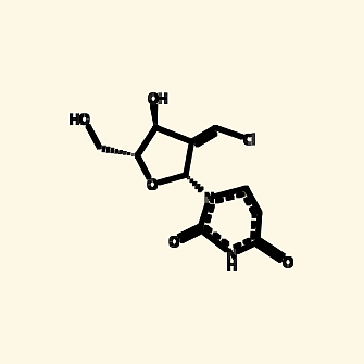 O=c1ccn([C@@H]2O[C@H](CO)[C@@H](O)/C2=C/Cl)c(=O)[nH]1